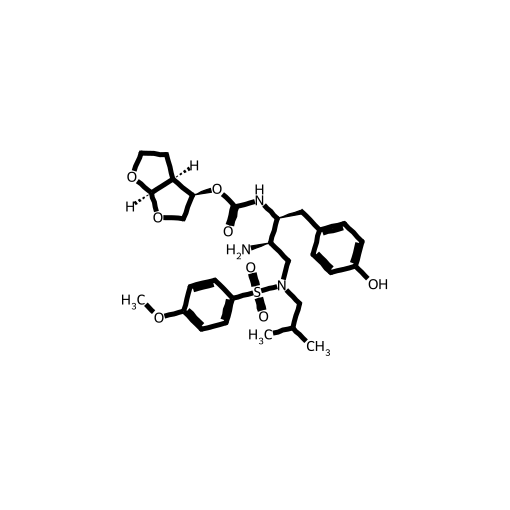 COc1ccc(S(=O)(=O)N(CC(C)C)C[C@@H](N)[C@H](Cc2ccc(O)cc2)NC(=O)O[C@H]2CO[C@H]3OCC[C@H]32)cc1